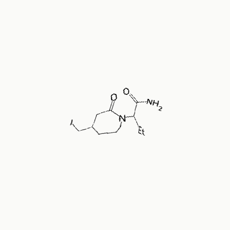 CCC(C(N)=O)N1CCC(CI)CC1=O